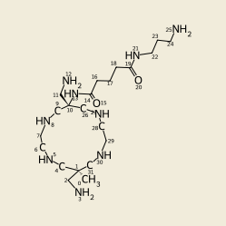 C[C@]1(CN)CNCCNC[C@](CN)(NC(=O)CCCC(=O)NCCCN)CNCCNC1